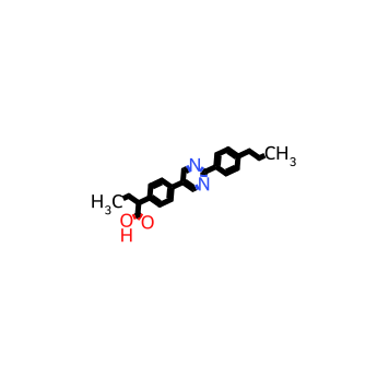 CCCc1ccc(-c2ncc(-c3ccc(C(CC)C(=O)O)cc3)cn2)cc1